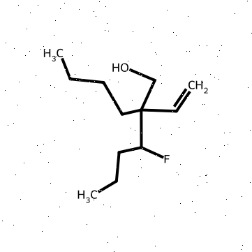 C=CC(CO)(CCCC)C(F)CCC